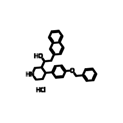 Cl.OC(Cc1ccc2ccccc2c1)C1CNCCC1c1ccc(OCc2ccccc2)cc1